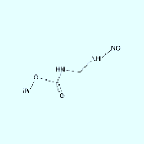 CC(C)OC(=O)NCNCN=O